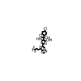 CC1(c2ccc(Cl)cc2)C(=O)Nc2nc(-c3cn4ncnc4c(CCC(F)(F)F)n3)nc(O)c21